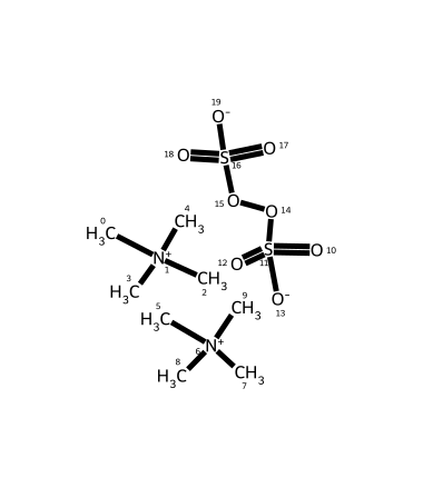 C[N+](C)(C)C.C[N+](C)(C)C.O=S(=O)([O-])OOS(=O)(=O)[O-]